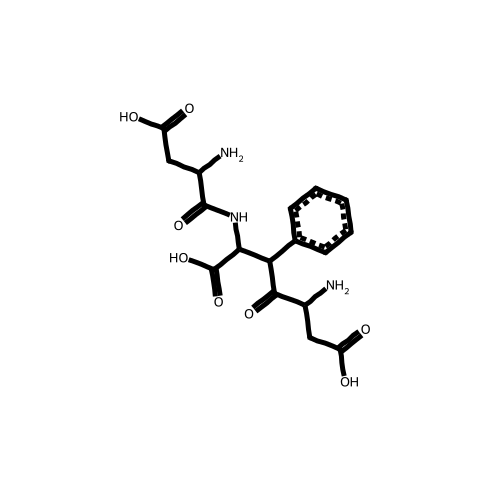 NC(CC(=O)O)C(=O)NC(C(=O)O)C(C(=O)C(N)CC(=O)O)c1ccccc1